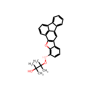 CC(C)(O)C(C)(C)OBc1cccc2c1oc1c3cccc4c3c(cc21)-c1ccccc1-4